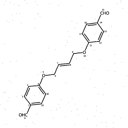 O=Cc1ccc(OCC=CCOc2ccc(C=O)cc2)cc1